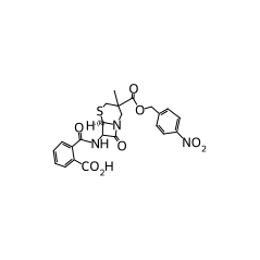 CC1(C(=O)OCc2ccc([N+](=O)[O-])cc2)CS[C@@H]2C(NC(=O)c3ccccc3C(=O)O)C(=O)N2C1